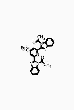 CC(=O)n1c(-c2cccc(-c3nc4ccccc4n3C(C)=O)n2)nc2ccccc21.[Cl-].[Cl-].[Fe+2]